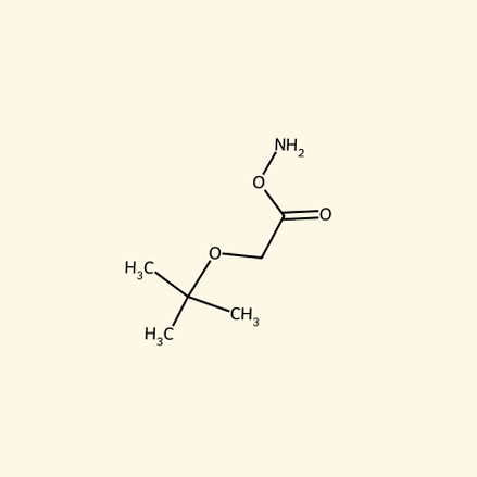 CC(C)(C)OCC(=O)ON